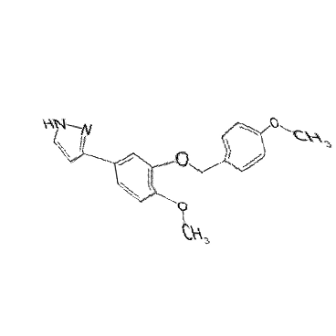 COc1ccc(COc2cc(-c3cc[nH]n3)ccc2OC)cc1